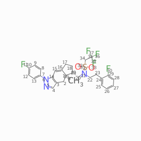 C[C@]12Cc3cnn(-c4ccc(F)cc4)c3C=C1CC[C@@H]2CN(CCc1ccccc1F)S(=O)(=O)CC(F)(F)F